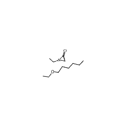 CCCCCCOCC.CCN1CC1=O